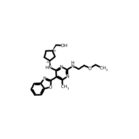 CCOCCNc1nc(C)c(-c2nc3ccccc3o2)c(N[C@H]2CC[C@@H](CO)C2)n1